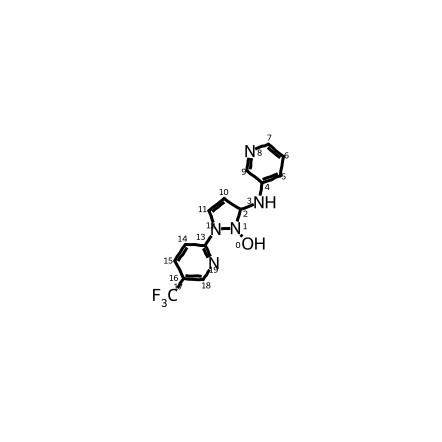 ON1C(Nc2cccnc2)C=CN1c1ccc(C(F)(F)F)cn1